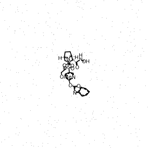 COCCOC(=O)N1[C@@H]2CC[C@H]1[C@H](C(=O)NO)N(S(=O)(=O)c1ccc(Oc3nc4ccccc4o3)nc1)C2